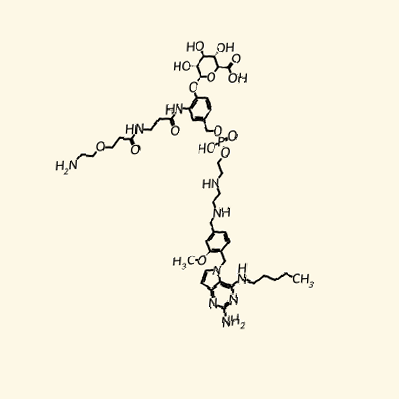 CCCCCNc1nc(N)nc2ccn(Cc3ccc(CNCCNCCOP(=O)(O)OCc4ccc(O[C@@H]5O[C@H](C(=O)O)[C@@H](O)[C@H](O)[C@H]5O)c(NC(=O)CCNC(=O)CCOCCN)c4)cc3OC)c12